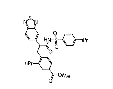 CCCc1cc(C(=O)OC)ccc1CC(C(=O)NS(=O)(=O)c1ccc(C(C)C)cc1)c1ccc2nsnc2c1